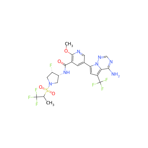 COc1ncc(-c2cc(C(F)(F)F)c3c(N)ncnn23)cc1C(=O)N[C@@H]1CN(S(=O)(=O)C(C)C(F)(F)F)C[C@@H]1F